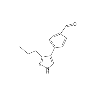 CCCc1n[nH]cc1-c1ccc(C=O)cc1